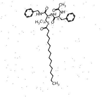 CCCCCCCCCCCCCCCC(=O)S[C@H](C)[C@H](NC(=O)[C@H](Cc1ccccc1)NC(C)=O)C(=O)NCc1ccccc1